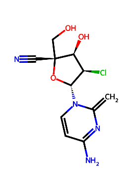 C=C1N=C(N)C=CN1[C@@H]1O[C@](C#N)(CO)[C@@H](O)[C@H]1Cl